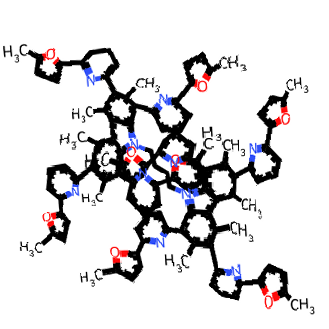 Cc1ccc(C2=NC(c3c(C)c(-c4cccc(-c5ccc(C)o5)n4)c4c(c3C)c3c(C)c(-c5cccc(-c6ccc(C)o6)n5)c(C)c(-c5cccc(-c6ccc(C)o6)n5)c3n4CCCCn3c4c(-c5cccc(-c6ccc(C)o6)n5)c(C)c(-c5cccc(-c6ccc(C)o6)n5)c(C)c4c4c(C)c(-c5cccc(-c6ccc(C)o6)n5)c(C)c(-c5cccc(-c6ccc(C)o6)n5)c43)=CCC2)o1